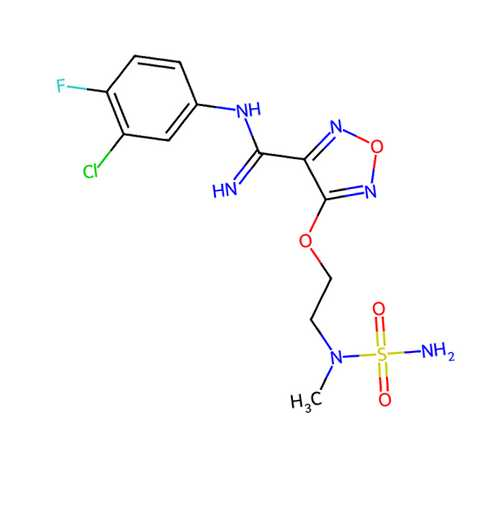 CN(CCOc1nonc1C(=N)Nc1ccc(F)c(Cl)c1)S(N)(=O)=O